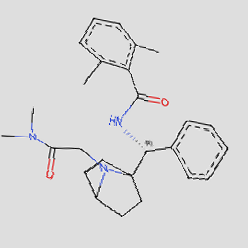 Cc1cccc(C)c1C(=O)N[C@H](c1ccccc1)C12CCC(CC1)N2CC(=O)N(C)C